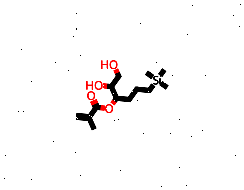 C=C(C)C(=O)OC(CCC[Si](C)(C)C)C(O)CO